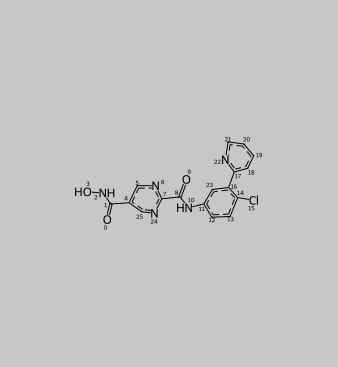 O=C(NO)c1cnc(C(=O)Nc2ccc(Cl)c(-c3ccccn3)c2)nc1